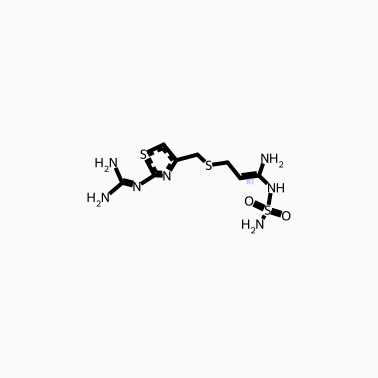 NC(N)=Nc1nc(CSC/C=C(\N)NS(N)(=O)=O)cs1